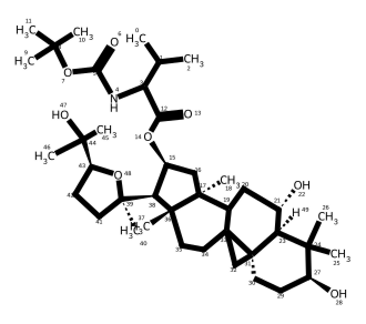 CC(C)C(NC(=O)OC(C)(C)C)C(=O)O[C@H]1C[C@@]2(C)C3C[C@H](O)[C@H]4C(C)(C)[C@@H](O)CC[C@@]45CC35CC[C@]2(C)[C@H]1[C@@]1(C)CC[C@@H](C(C)(C)O)O1